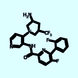 NC1CC(C(F)(F)F)CN(c2ccncc2NC(=O)c2ccc(F)c(-c3ccccc3F)n2)C1